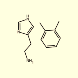 Cc1ccccc1C.NCCc1c[nH]cn1